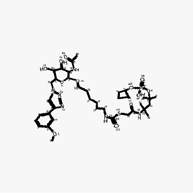 COc1cccc(-c2cn(CC3OC(OCCCCCCNC(=O)SCC(=O)NC(C)(C)CC(C)(C)OP(=O)(O)OC4CCC4)C(NC(C)=O)C(O)C3O)nn2)c1